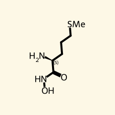 CSCCC[C@H](N)C(=O)NO